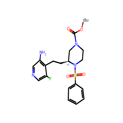 CC(C)(C)OC(=O)N1CCN(S(=O)(=O)c2ccccc2)[C@@H](CCc2c(N)cncc2F)C1